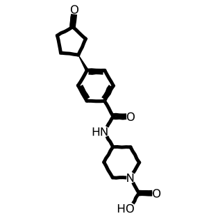 O=C1CC[C@H](c2ccc(C(=O)NC3CCN(C(=O)O)CC3)cc2)C1